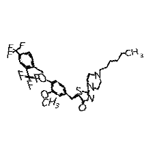 CCCCCCN1CCN(C2=NC(=O)C(=Cc3ccc(OCc4ccc(C(F)(F)F)cc4C(F)(F)F)c(OC)c3)S2)CC1